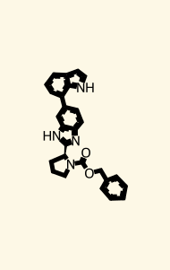 O=C(OCc1ccccc1)N1CCC[C@H]1c1nc2ccc(-c3cccc4cc[nH]c34)cc2[nH]1